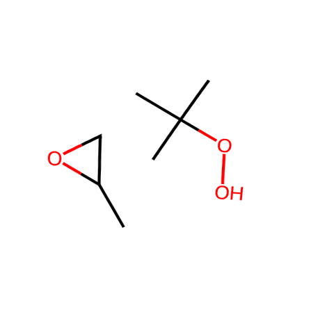 CC(C)(C)OO.CC1CO1